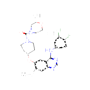 COc1cc2ncnc(Nc3ccc(F)c(Cl)c3)c2cc1OC1CCN(C(=O)N2C[C@@H](C)O[C@@H](C)C2)CC1